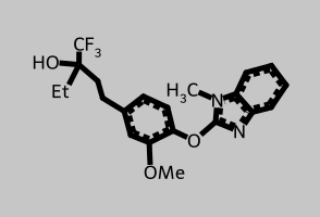 CCC(O)(CCc1ccc(Oc2nc3ccccc3n2C)c(OC)c1)C(F)(F)F